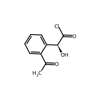 CC(=O)c1ccccc1[C@H](O)C(=O)Cl